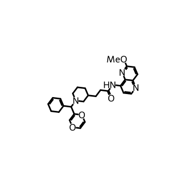 COc1ccc2nccc(NC(=O)CCC3CCCN(C(C4=CC=CCC4)C4=COC=CO4)C3)c2n1